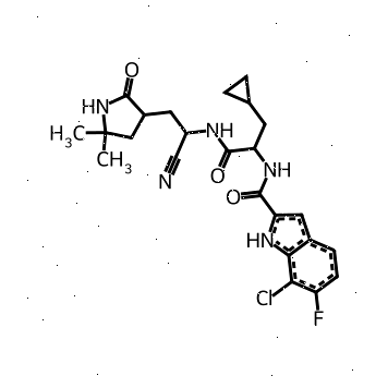 CC1(C)CC(CC(C#N)NC(=O)C(CC2CC2)NC(=O)c2cc3ccc(F)c(Cl)c3[nH]2)C(=O)N1